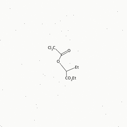 CCOC(=O)C(CC)OC(=O)C(Cl)(Cl)Cl